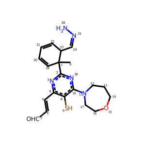 CC1(c2nc(/C=C/C=O)c(S)c(N3CCCOCC3)n2)C=CC=CC1/C=N\N